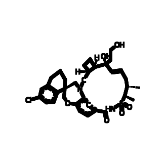 C[C@@H]1[C@@H](C)C/C=C/[C@@](O)(CCO)[C@@H]2CC[C@H]2CN2C[C@@]3(CCCc4cc(Cl)ccc43)COc3ccc(cc32)C(=O)NS1(=O)=O